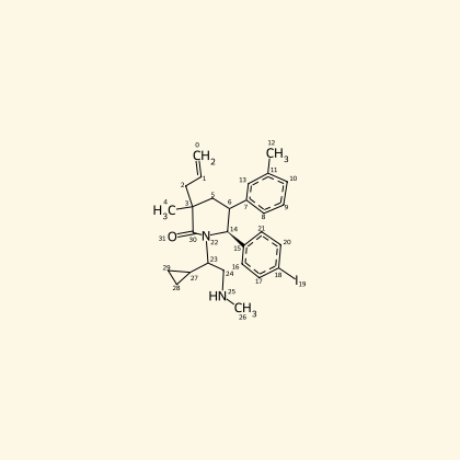 C=CCC1(C)CC(c2cccc(C)c2)[C@@H](c2ccc(I)cc2)N(C(CNC)C2CC2)C1=O